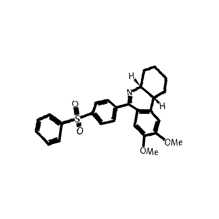 COc1cc2c(cc1OC)[C@H]1CCCC[C@H]1N=C2c1ccc(S(=O)(=O)c2ccccc2)cc1